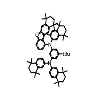 Cc1cc2c(cc1N(c1cc(N(c3ccc4c(c3)C(C)(C)CCC4(C)C)c3ccc4c(c3)C(C)(C)CCC4(C)C)cc(C(C)(C)C)c1)c1cccc3oc4cc5c(cc4c13)C(C)(C)CCC5(C)C)C(C)(C)CCC2(C)C